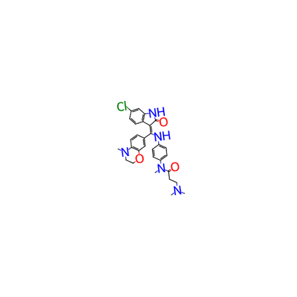 CN(C)CCC(=O)N(C)c1ccc(N/C(=C2\C(=O)Nc3cc(Cl)ccc32)c2ccc3c(c2)OCCN3C)cc1